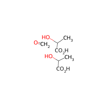 C=O.CC(O)C(=O)O.CC(O)C(=O)O